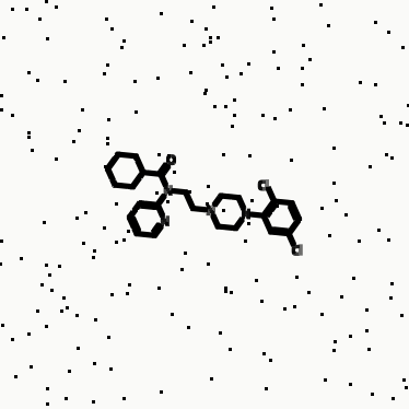 O=C(C1CCCCC1)N(CCN1CCN(c2cc(Cl)ccc2Cl)CC1)c1ccccn1